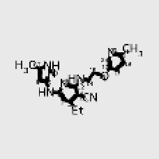 CCc1cc(Nc2cc(C)[nH]n2)nc(NCCOc2ccc(C)nc2)c1C#N